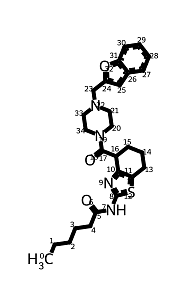 CCCCCC(=O)Nc1nc2c(s1)CCCC2C(=O)N1CCN(Cc2cc3ccccc3o2)CC1